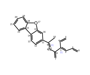 C=C/C=C(\C=C)C(=C)/N=C(\C)c1ccc2c(c1)oc1ccccc12